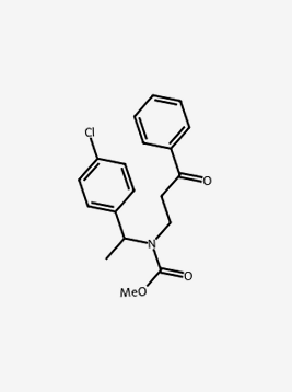 COC(=O)N(CCC(=O)c1ccccc1)C(C)c1ccc(Cl)cc1